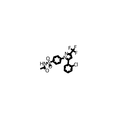 CC(=O)NS(=O)(=O)c1ccc(-n2nc(C(F)(F)F)cc2-c2ccccc2Cl)cc1